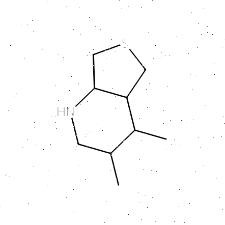 CC1CNC2CSCC2C1C